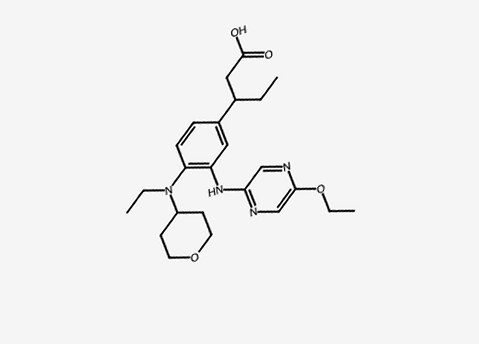 CCOc1cnc(Nc2cc(C(CC)CC(=O)O)ccc2N(CC)C2CCOCC2)cn1